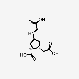 O=C(O)CNC1C[C@@H](C(=O)O)N(CC(=O)O)C1